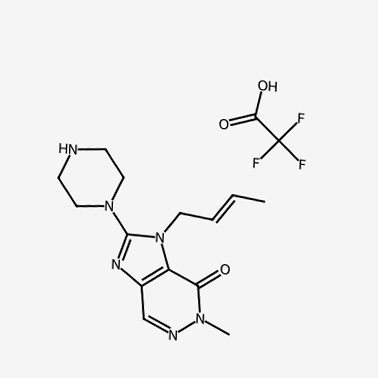 CC=CCn1c(N2CCNCC2)nc2cnn(C)c(=O)c21.O=C(O)C(F)(F)F